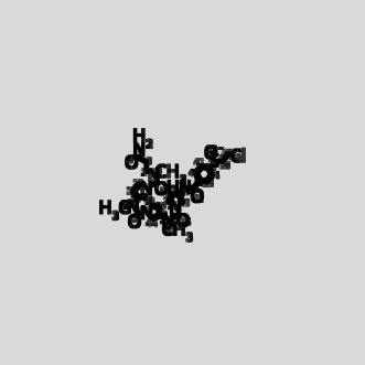 CN(CCC(N)=O)C(=O)n1ccc(N(C)C(=O)n2ccc(N(C)C(=O)n3ccc(NC(=O)c4ccc([S+]([O-])CCCl)cc4)c3)c2)c1